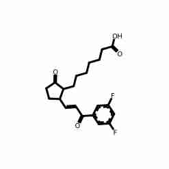 O=C(O)CCCCCCC1C(=O)CCC1C=CC(=O)c1cc(F)cc(F)c1